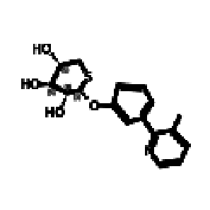 Cc1cccnc1-c1cccc(O[C@H]2SC[C@@H](O)[C@H](O)[C@H]2O)c1